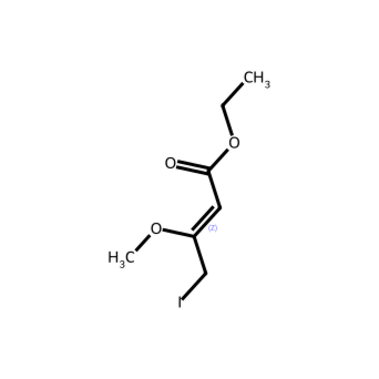 CCOC(=O)/C=C(/CI)OC